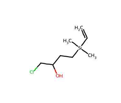 C=C[Si](C)(C)CCC(O)CCl